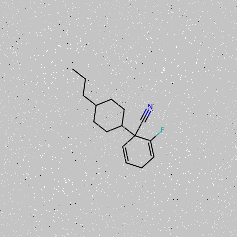 CCCC1CCC(C2(C#N)C=CCC=C2F)CC1